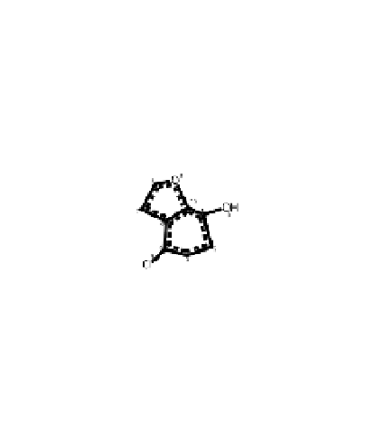 Oc1ccc(Cl)c2ccoc12